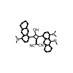 CN(C)c1ccc(C2C(=C(C#N)C#N)C(c3ccc(N(C)C)c4c(N(C)C)c5ccccc5cc34)C2O)c2cc3ccccc3cc12